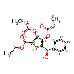 CCOC(=O)c1sc(C(=O)c2ccccc2)c(OC(=O)OC)c1OC(=O)OC